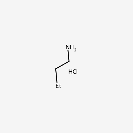 Cl.[CH2]CCCN